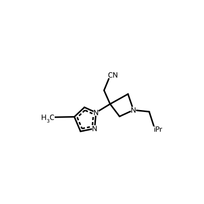 Cc1cnn(C2(CC#N)CN(CC(C)C)C2)c1